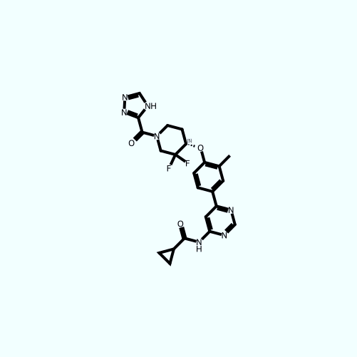 Cc1cc(-c2cc(NC(=O)C3CC3)ncn2)ccc1O[C@H]1CCN(C(=O)c2nnc[nH]2)CC1(F)F